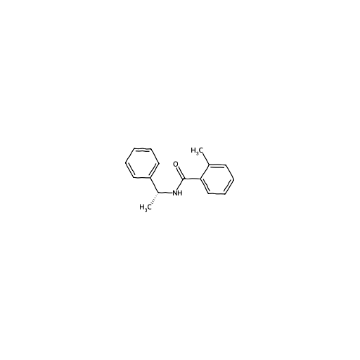 Cc1ccccc1C(=O)N[C@H](C)c1ccccc1